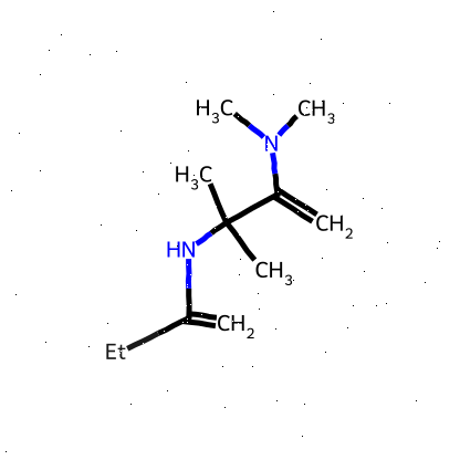 C=C(CC)NC(C)(C)C(=C)N(C)C